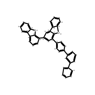 c1ccc(-c2cccc(-c3ccc(-c4cc(-c5cccc6c5sc5ccccc56)cc5c4oc4ccccc45)cc3)c2)cc1